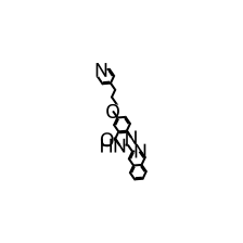 O=c1[nH]c(-c2cc3ccccc3cn2)nc2ccc(OCCCc3ccncc3)cc12